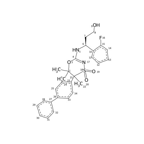 CC1(C)OC(N[C@@H](CCO)c2ccccc2F)=NS(=O)(=O)C1(C)c1ccc(-c2ccccc2)cc1